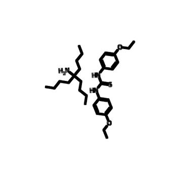 CCCCC(N)(CCCC)CCCC.CCOc1ccc(NC(=S)Nc2ccc(OCC)cc2)cc1